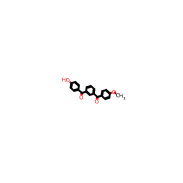 COc1ccc(C(=O)c2cccc(C(=O)c3ccc(O)cc3)c2)cc1